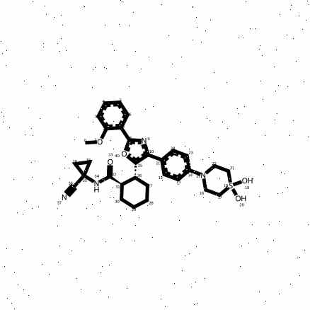 COc1ccccc1-c1nc(-c2ccc(N3CCS(O)(O)CC3)cc2)c([C@@H]2CCCC[C@H]2C(=O)NC2(C#N)CC2)o1